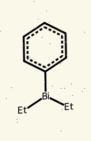 C[CH2][Bi]([CH2]C)[c]1ccccc1